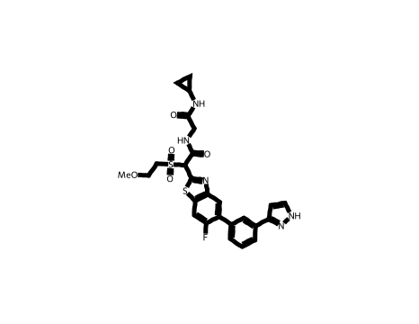 COCCS(=O)(=O)C(C(=O)NCC(=O)NC1CC1)c1nc2cc(-c3cccc(-c4cc[nH]n4)c3)c(F)cc2s1